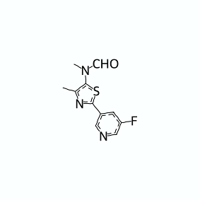 Cc1nc(-c2cncc(F)c2)sc1N(C)C=O